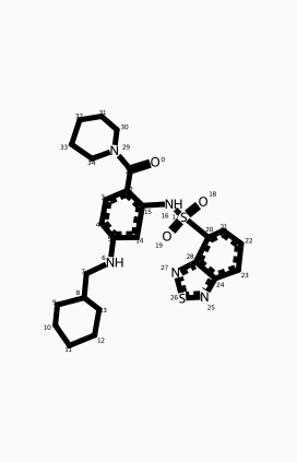 O=C(c1ccc(NCC2CCCCC2)cc1NS(=O)(=O)c1cccc2nsnc12)N1CCCCC1